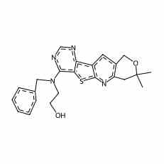 CC1(C)Cc2nc3sc4c(N(CCO)Cc5ccccc5)ncnc4c3cc2CO1